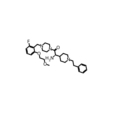 COCCOc1cccc(F)c1CN1CCN(C(=O)[C@H](N)C2CCN(CCc3ccccc3)CC2)CC1